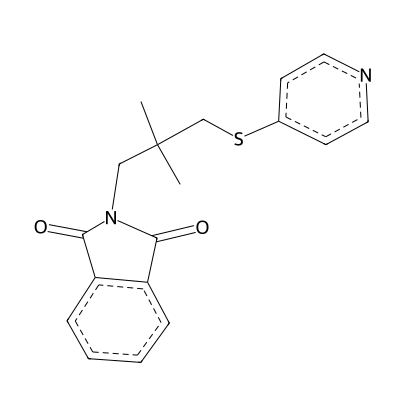 CC(C)(CSc1ccncc1)CN1C(=O)c2ccccc2C1=O